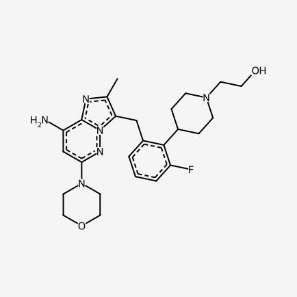 Cc1nc2c(N)cc(N3CCOCC3)nn2c1Cc1cccc(F)c1C1CCN(CCO)CC1